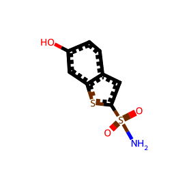 NS(=O)(=O)c1cc2ccc(O)cc2s1